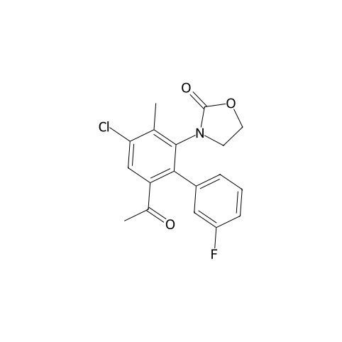 CC(=O)c1cc(Cl)c(C)c(N2CCOC2=O)c1-c1cccc(F)c1